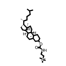 CC(C)CCC[C@@H](C)[C@H]1CC[C@H]2[C@@H]3CCC4CC(OC(=O)NCC[N+](C)(C)C)CC[C@]4(C)[C@H]3CC[C@]12C